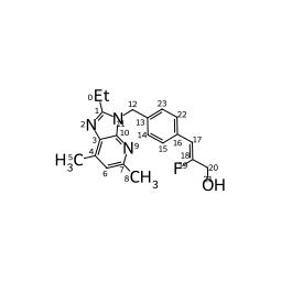 CCc1nc2c(C)cc(C)nc2n1Cc1ccc(C=C(F)CO)cc1